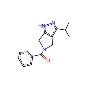 CC(C)c1n[nH]c2c1CN(C(=O)c1ccccc1)C2